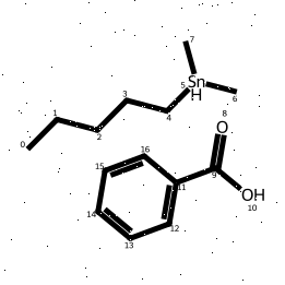 CCCC[CH2][SnH]([CH3])[CH3].O=C(O)c1ccccc1